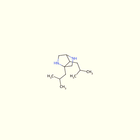 CC(C)CC1C2CNC1(CC(C)C)CN2